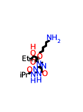 CC[C@H]1O[C@@H](n2cnc3c(=O)[nH]c(NC(=O)C(C)C)nc32)[C@@H](OCCCCCCN)C1O